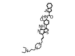 CCN(CC)CCCN1CCN(CC=Cc2cnc(N)c3c(-c4ccc(NC(=O)c5cc6ccccc6n5C)c(OC)c4)csc23)CC1